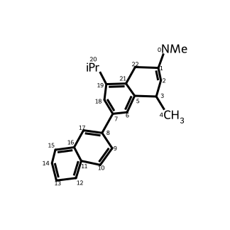 CNC1=CC(C)c2cc(-c3ccc4ccccc4c3)cc(C(C)C)c2C1